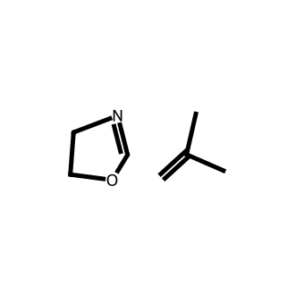 C1=NCCO1.C=C(C)C